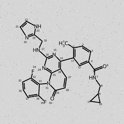 Cc1ccc(C(=O)NCC2CC2)cc1-c1nc(NCc2ncc[nH]2)nc2c1ccc(=O)n2-c1c(F)cccc1F